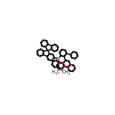 CC1(C)c2ccccc2-c2c(-c3c(-c4ccccc4)cccc3N(c3cccc(-c4ccccc4)c3)c3ccc4c(c3)C3(c5ccccc5-c5ccccc53)c3ccccc3-4)cccc21